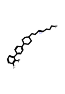 FCCC/C=C/CCC1CCC(c2ccc(-c3cccc(F)c3F)cc2)CC1